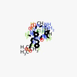 CN(CCNC(=N)N)C(=O)CN(c1nn(CC(F)(F)F)c2c(-c3ccc(C#CC(C)(C)S(C)(=O)=O)nc3C(Cc3cc(F)cc(F)c3)NC(=O)Cn3nc(C(F)(F)F)c4c3C(F)(F)[C@@H]3C[C@H]43)ccc(Cl)c12)[SH](=O)=O